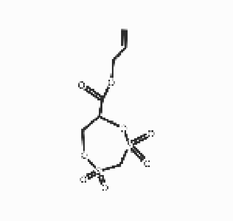 C=CCOC(=O)C1COS(=O)(=O)CS(=O)(=O)O1